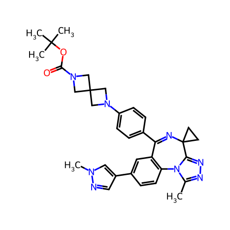 Cc1nnc2n1-c1ccc(-c3cnn(C)c3)cc1C(c1ccc(N3CC4(CN(C(=O)OC(C)(C)C)C4)C3)cc1)=NC21CC1